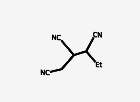 CCC(C#N)C(C#N)CC#N